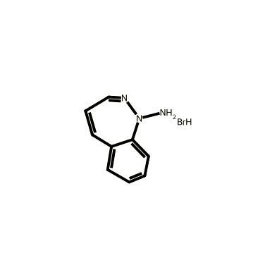 Br.NN1N=CC=Cc2ccccc21